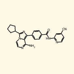 N#Cc1ccnc(NC(=O)c2ccc(-c3nc(C4CCCC4)n4ccnc(N)c34)cc2)c1